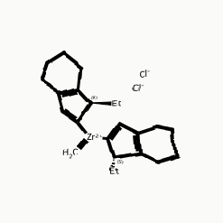 [CH2]=[Zr+2]([C]1=CC2=C(CCCC2)[C@@H]1CC)[C]1=CC2=C(CCCC2)[C@H]1CC.[Cl-].[Cl-]